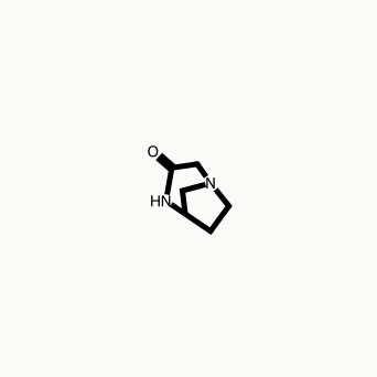 O=C1CN2CCC(C2)N1